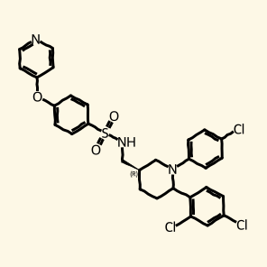 O=S(=O)(NC[C@@H]1CCC(c2ccc(Cl)cc2Cl)N(c2ccc(Cl)cc2)C1)c1ccc(Oc2ccncc2)cc1